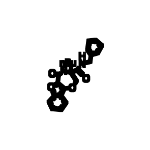 CCCCN1C(=O)c2oc3ccccc3c2OCC1(C)C(=O)NCc1ccccc1